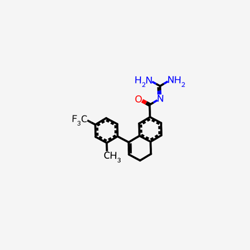 Cc1cc(C(F)(F)F)ccc1C1=CCCc2ccc(C(=O)N=C(N)N)cc21